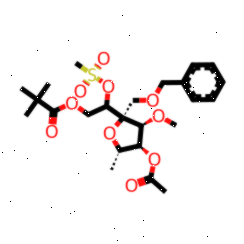 CO[C@H]1[C@@H](OC(C)=O)[C@H](C)O[C@@]1(COCc1ccccc1)C(COC(=O)C(C)(C)C)OS(C)(=O)=O